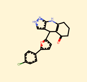 O=C1CCCC2=C1C(c1ccc(-c3ccc(Cl)cc3)o1)c1c[nH]nc1N2